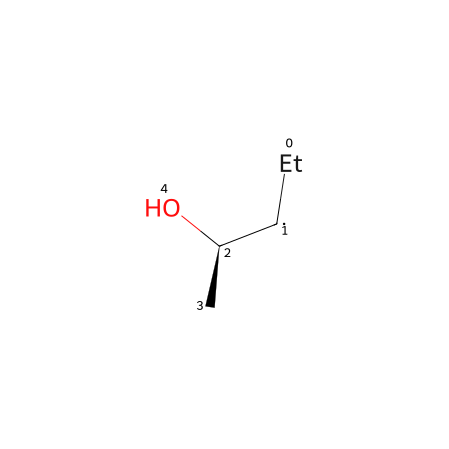 CC[CH][C@@H](C)O